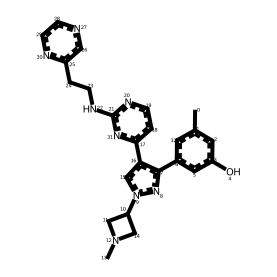 Cc1cc(O)cc(-c2nn(C3CN(C)C3)cc2-c2ccnc(NCCc3cnccn3)n2)c1